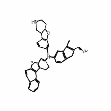 CC1=C(C=N)Cc2ccc(N(C3=Cc4sc5ccc6ccccc6c5c4CC3)c3ccc4c(c3)OC3CCNCC43)cc21